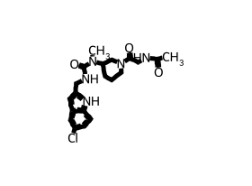 CC(=O)NCC(=O)N1CCCC(N(C)C(=O)NCc2cc3cc(Cl)ccc3[nH]2)C1